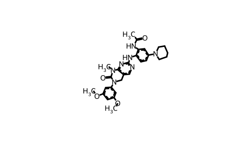 COc1cc(OC)cc(N2Cc3cnc(Nc4ccc(N5CCCCC5)cc4NC(C)=O)nc3N(C)C2=O)c1